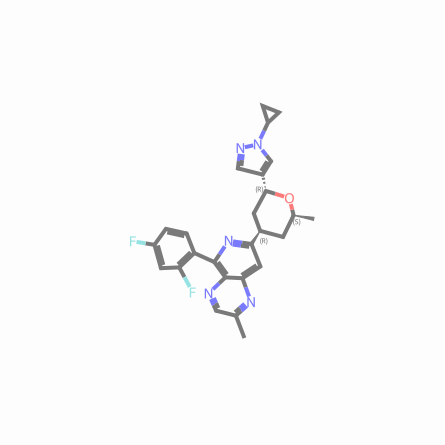 Cc1cnc2c(-c3ccc(F)cc3F)nc([C@@H]3C[C@H](C)O[C@@H](c4cnn(C5CC5)c4)C3)cc2n1